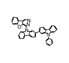 c1ccc(-n2c3ccccc3c3ccc(-c4ccc5c6ccccc6n(-c6nncc7c6oc6ccccc67)c5c4)cc32)cc1